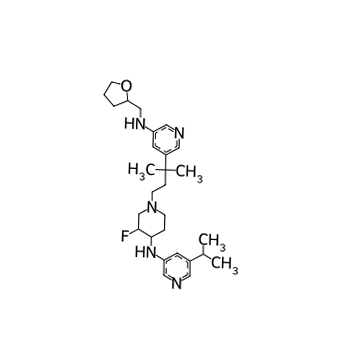 CC(C)c1cncc(NC2CCN(CCC(C)(C)c3cncc(NCC4CCCO4)c3)CC2F)c1